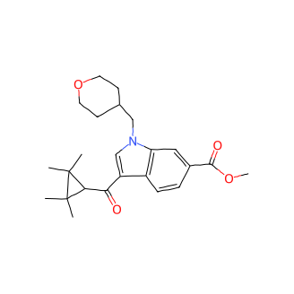 COC(=O)c1ccc2c(C(=O)C3C(C)(C)C3(C)C)cn(CC3CCOCC3)c2c1